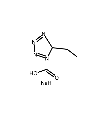 CCC1N=NN=N1.O=CO.[NaH]